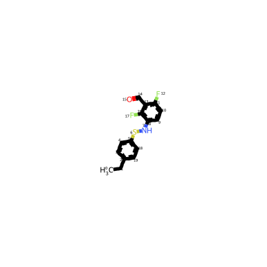 CCc1ccc(SNc2ccc(F)c(C=O)c2F)cc1